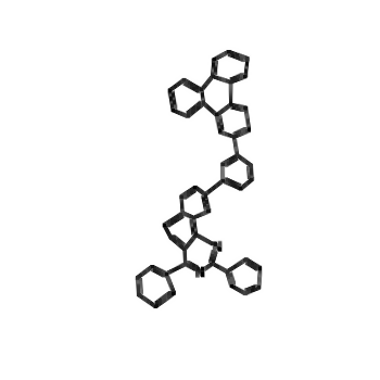 c1ccc(-c2nc(-c3ccccc3)c3ccc4ccc(-c5cccc(-c6ccc7c8ccccc8c8ccccc8c7c6)c5)cc4c3n2)cc1